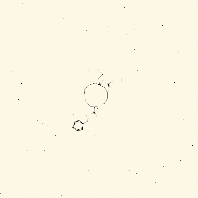 CCCC1(OC(C)=O)CCCCCCC(C(=O)OCc2ccccc2)CCCCC1